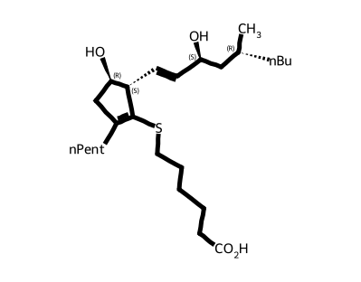 CCCCCC1=C(SCCCCCC(=O)O)[C@@H](C=C[C@@H](O)C[C@H](C)CCCC)[C@H](O)C1